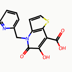 O=C(O)c1c(O)c(=O)n(Cc2ccccn2)c2ccsc12